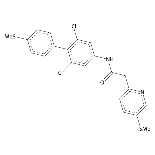 CSc1ccc(-c2c(Cl)cc(NC(=O)Cc3ccc(SC)cn3)cc2Cl)cc1